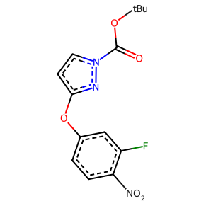 CC(C)(C)OC(=O)n1ccc(Oc2ccc([N+](=O)[O-])c(F)c2)n1